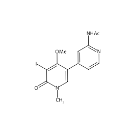 COc1c(-c2ccnc(NC(C)=O)c2)cn(C)c(=O)c1I